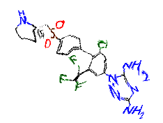 Nc1nc(N)n(-c2cc(Cl)c(-c3ccc(S(=O)(=O)C[C@@H]4CCCN4)cc3)c(C(F)(F)F)c2)n1